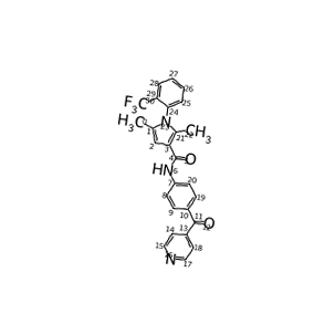 Cc1cc(C(=O)Nc2ccc(C(=O)c3ccncc3)cc2)c(C)n1-c1ccccc1C(F)(F)F